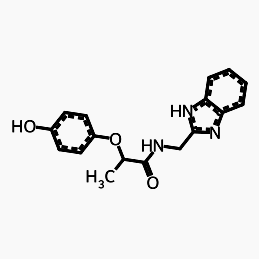 CC(Oc1ccc(O)cc1)C(=O)NCc1nc2ccccc2[nH]1